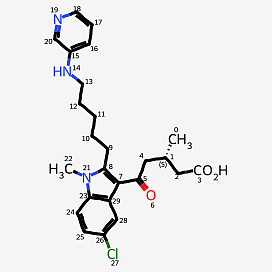 C[C@H](CC(=O)O)CC(=O)c1c(CCCCCNc2cccnc2)n(C)c2ccc(Cl)cc12